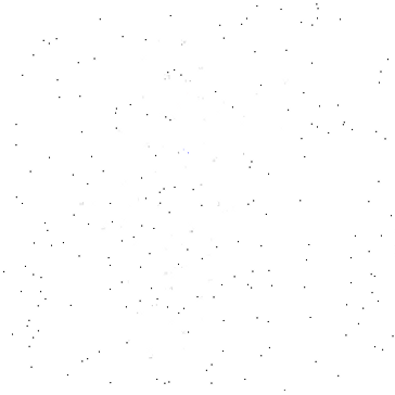 c1ccc(-c2ccc(N(c3ccc4c(c3)-c3ccccc3-c3ccccc3C43c4ccccc4-c4cc5sc6ccccc6c5cc43)c3cccc4c3oc3ccccc34)cc2)cc1